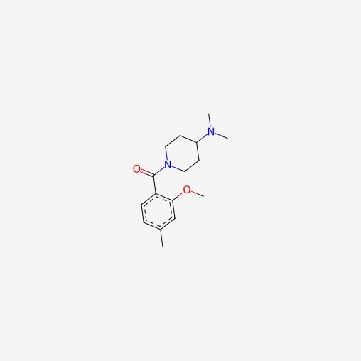 COc1cc(C)ccc1C(=O)N1CCC(N(C)C)CC1